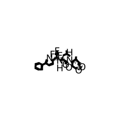 CC(C)C[C@H](N[C@@H](c1ccc(-c2ccccc2)cn1)C(F)(F)F)C(=O)N[C@@H]1C(=O)CS(=O)(=O)CC1C